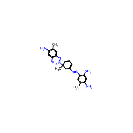 Cc1cc(N=NC2=CC=CC(C)(N=Nc3cc(C)c(N)cc3N)C2)c(N)cc1N